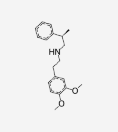 COc1ccc(CCNC[C@H](C)c2ccccc2)cc1OC